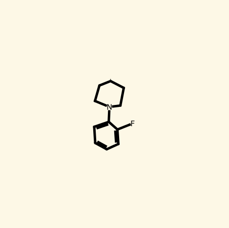 Fc1ccccc1N1CC[CH]CC1